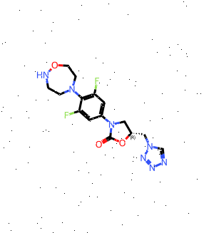 O=C1O[C@@H](Cn2cnnn2)CN1c1cc(F)c(N2CCNOCC2)c(F)c1